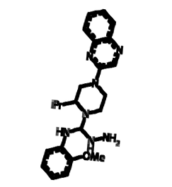 COc1ccccc1NC(NN)N1CCN(c2cnc3ccccc3n2)CC1C(C)C